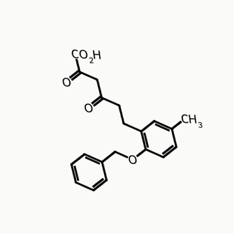 Cc1ccc(OCc2ccccc2)c(CCC(=O)CC(=O)C(=O)O)c1